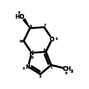 Cc1cnn2c1OC[C@H](O)C2